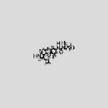 O=C(NCC1(F)COC1)Nc1cc(F)c(Oc2ccnc3[nH]cc(C4CCC4)c23)c(F)c1